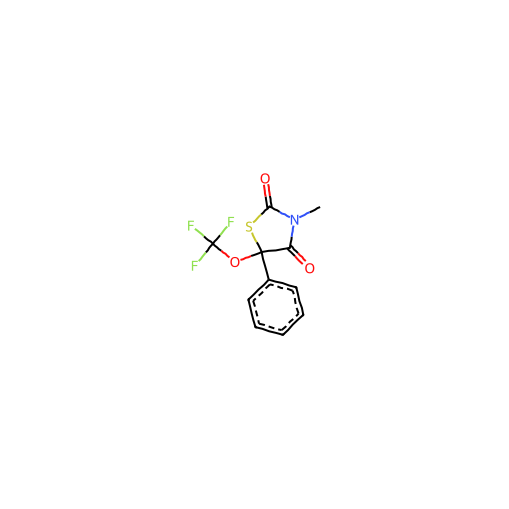 CN1C(=O)SC(OC(F)(F)F)(c2ccccc2)C1=O